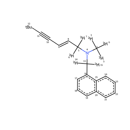 [2H]C([2H])([2H])N(C([2H])([2H])/C=C/C#CC(C)(C)C)C([2H])([2H])c1cccc2ccccc12